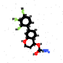 NC(=O)OC1CCOc2cc(-c3ccc(F)c(F)c3F)ccc21